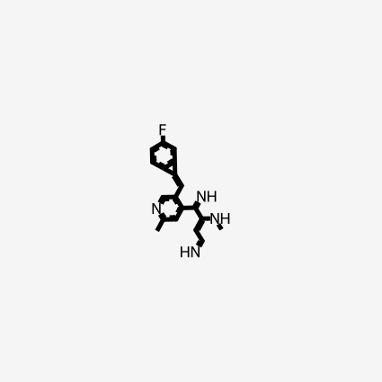 CN/C(=C\C=N)C(=N)c1cc(C)ncc1/C=C1\c2ccc(F)cc21